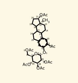 CC(=O)OC[C@H]1O[C@H](Oc2cc3c(cc2C(C)=O)C2CC[C@@]4(C)C(CC[C@H]4OC(C)=O)C2CC3)[C@H](OC(C)=O)[C@@H](OC(C)=O)[C@@H]1OC(C)=O